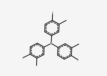 Cc1cc(N(c2ccc(I)c(C)c2)c2ccc(I)c(C)c2)ccc1I